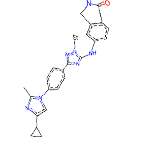 CCn1nc(-c2ccc(-n3cc(C4CC4)nc3C)cc2)nc1Nc1ccc2c(c1)CNC2=O